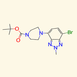 Cn1nc2c(Br)ccc(N3CCN(C(=O)OC(C)(C)C)CC3)c2n1